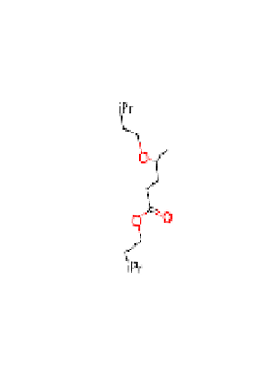 CC(C)CCOC(=O)CCC(C)OCCC(C)C